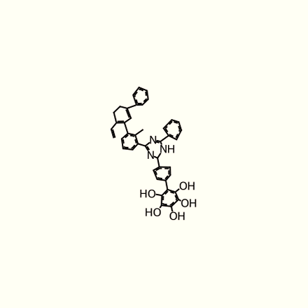 C=CC1=C(c2cccc(C3=NC(c4ccc(-c5c(O)c(O)c(O)c(O)c5O)cc4)NC(c4ccccc4)=N3)c2C)C=C(c2ccccc2)CC1